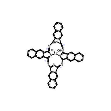 O[Si]1(O)n2c3c4cc5ccccc5cc4c2/N=C2N=C(/N=c4/c5cc6ccccc6cc5/c(n41)=N/C1=NC(=N\3)/c3cc4ccccc4cc31)c1cc3ccccc3cc1\2